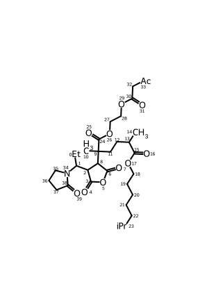 CCC(C1C(=O)OC(=O)C1C(C)(CCC(C)C(=O)OCCCCCC(C)C)C(=O)OCCOC(=O)CC(C)=O)N1CCCC1=O